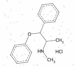 CNC(C)C(Oc1ccccc1)c1ccccc1.Cl